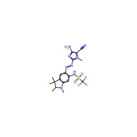 CC1N(C)c2cc(NS(=O)(=O)C(F)(F)F)c(N=Nc3nc(N)c(C#N)n3C)cc2C1(C)C